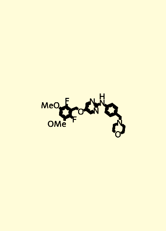 COc1cc(OC)c(F)c(COc2cnc(Nc3ccc(CN4CCOCC4)cc3)nc2)c1F